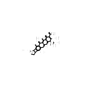 CN1CCC2c3c(c(O)c4c(c3C(F)(F)F)C[C@H]3C[C@@H]5[C@@H](C(=O)C(C(N)=O)=C(O)[C@H]5N(C)C)C(O)=C3C4=O)C21